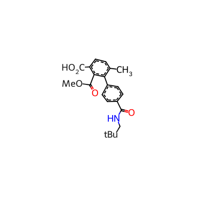 COC(=O)c1c(C(=O)O)ccc(C)c1-c1ccc(C(=O)NCC(C)(C)C)cc1